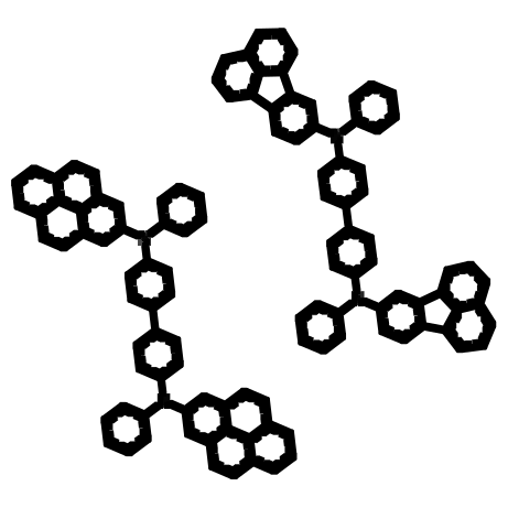 c1ccc(N(c2ccc(-c3ccc(N(c4ccccc4)c4cc5ccc6cccc7ccc(c4)c5c67)cc3)cc2)c2cc3ccc4cccc5ccc(c2)c3c45)cc1.c1ccc(N(c2ccc(-c3ccc(N(c4ccccc4)c4ccc5c(c4)-c4cccc6cccc-5c46)cc3)cc2)c2ccc3c(c2)-c2cccc4cccc-3c24)cc1